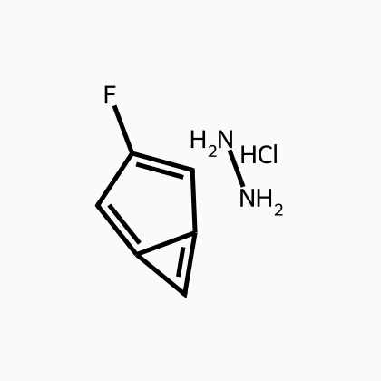 Cl.Fc1cc2cc-2c1.NN